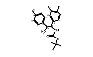 Cc1ccc(C(NC(=O)OC(C)(C)C)C(O)c2ccc(I)cc2)cc1F